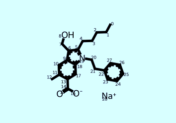 CCCCCc1c(CO)c2cc(C)c(C(=O)[O-])cc2n1CCc1ccccc1.[Na+]